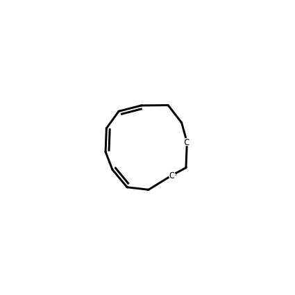 [CH]1CC=CC=CC=CCCCC1